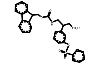 CCOC(=O)CC(CNC(=O)OCC1c2ccccc2-c2ccccc21)c1cccc(OS(=O)(=O)c2ccccc2)c1